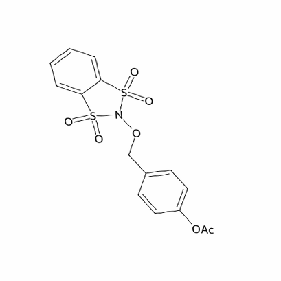 CC(=O)Oc1ccc(CON2S(=O)(=O)c3ccccc3S2(=O)=O)cc1